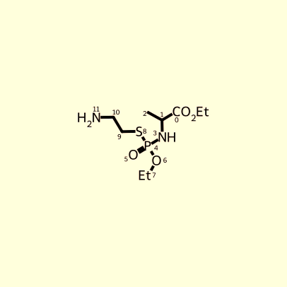 CCOC(=O)C(C)NP(=O)(OCC)SCCN